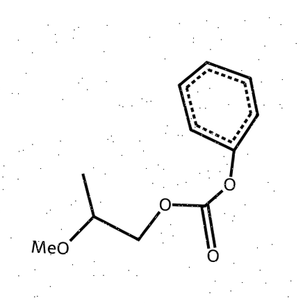 COC(C)COC(=O)Oc1ccccc1